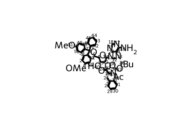 COc1ccc(C(OCC2OC(n3cnc4c(N)ncnc43)C(OC(=O)[C@@H](Cc3ccccc3)N(C(C)=O)C(=O)OC(C)(C)C)C2O)(c2ccccc2)c2ccc(OC)cc2)cc1